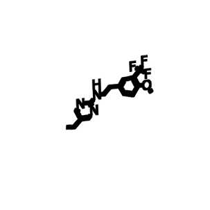 CCc1cnc(NCCc2ccc(OC)c(C(F)(F)F)c2)nc1